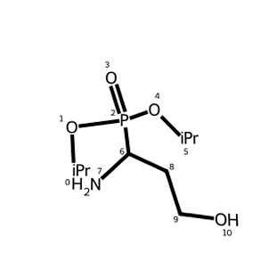 CC(C)OP(=O)(OC(C)C)C(N)CCO